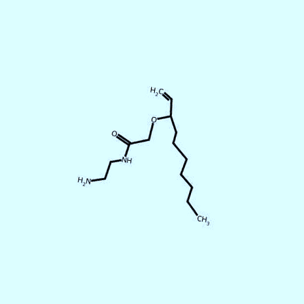 C=CC(CCCCCCC)OCC(=O)NCCN